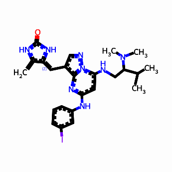 C=c1[nH]c(=O)[nH]/c1=C\c1cnn2c(NCC(C(C)C)N(C)C)cc(Nc3cccc(I)c3)nc12